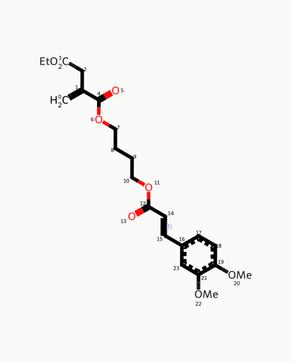 C=C(CC(=O)OCC)C(=O)OCCCCOC(=O)/C=C/c1ccc(OC)c(OC)c1